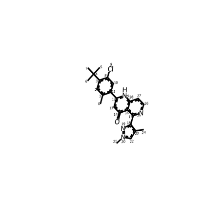 Cc1cc(C(C)(C)C)c(Cl)cc1-c1cc(=O)c2c(-c3nn(C)cc3C)nccc2[nH]1